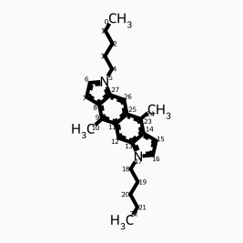 CCCCCn1ccc2c(C)c3cc4c(ccn4CCCCC)c(C)c3cc21